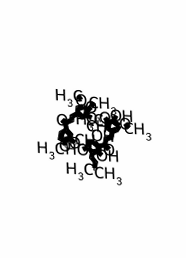 COc1cc(CCC(=O)c2c(O)cc(O)c(CCC(C)C)c2O)cc(OC)c1O.COc1ccc(C(=O)CCc2cc(OC)c(OC)c(OC)c2)cc1OC